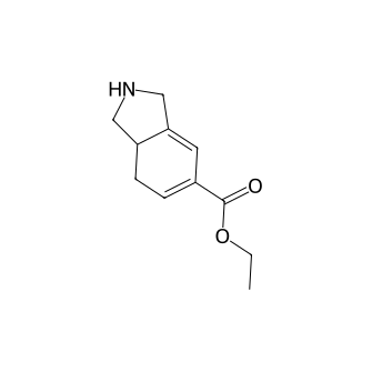 CCOC(=O)C1=CCC2CNCC2=C1